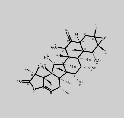 CC(=O)O[C@H]1[C@H]2[C@H]([C@@H]3[C@@H](O)[C@@H]4[C@H]([C@H](C)C=C5OC(=O)[C@@](C)(O)[C@@]54C)[C@@]3(C)[C@H]1O)[C@@H](OC(C)=O)C(=O)[C@H]1C[C@@H]3O[C@@H]3[C@H](OC(C)=O)[C@]21C